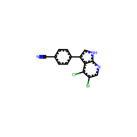 N#Cc1ccc(-c2c[nH]c3ncc(Br)c(Cl)c23)cc1